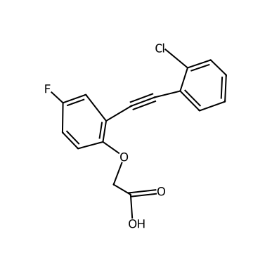 O=C(O)COc1ccc(F)cc1C#Cc1ccccc1Cl